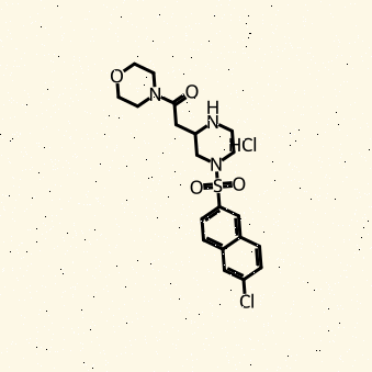 Cl.O=C(CC1CN(S(=O)(=O)c2ccc3cc(Cl)ccc3c2)CCN1)N1CCOCC1